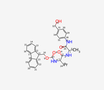 CC(NC(=O)C(NC(=O)OCC1c2ccccc2-c2ccccc21)C(C)C)C(=O)Nc1ccc(CO)cc1